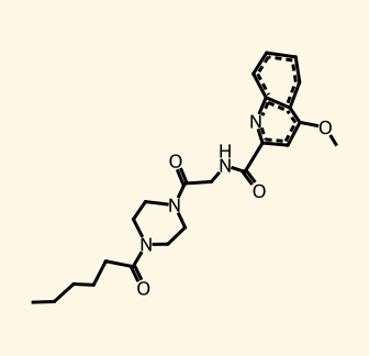 CCCCCC(=O)N1CCN(C(=O)CNC(=O)c2cc(OC)c3ccccc3n2)CC1